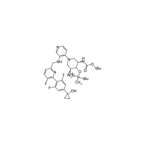 C[C@H]1CN(c2ccncc2NCc2ccc(F)c(-c3c(F)cc(C4(O)CC4)cc3F)n2)C[C@@H](NC(=O)OC(C)(C)C)C1O[Si](C)(C)C(C)(C)C